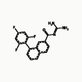 NC(N)=NC(=O)c1ccc2cccc(-c3c(F)cc(F)cc3F)c2c1